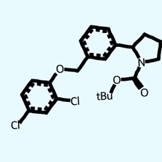 CC(C)(C)OC(=O)N1CCCC1c1cccc(COc2ccc(Cl)cc2Cl)c1